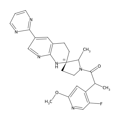 COc1cc(C(C)C(=O)N2CC[C@@]3(CCc4cc(-c5ncccn5)cnc4N3)C2C)c(F)cn1